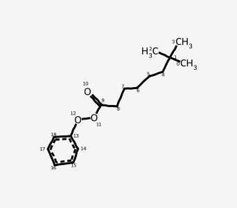 CC(C)(C)CCCCCC(=O)OOc1ccccc1